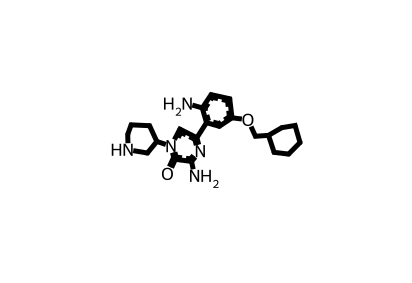 Nc1ccc(OCC2CCCCC2)cc1-c1cn(C2CCCNC2)c(=O)c(N)n1